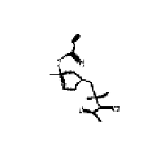 C=CC(=O)OC1(C)CCC(CC(C)(C)C(=O)C(C)=O)C1